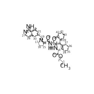 CCCOC(=O)CN[C@@H](C(=O)NC(=O)[C@@H]1CCCN1Cc1ccc2c(N)nccc2c1)C(c1ccccc1)c1ccccc1